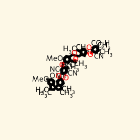 COc1cc2c(cc1OC)C1(CC2(C)C)CC(C)(C)c2cc3c(cc21)Oc1c(C#N)c(Oc2cc4c(cc2OC)CC2(Cc5cc6c(cc5C(C)(C)O2)Oc2c(c(C#N)c(C)c(C)c2C(=O)O)O6)OC4(C)C)c(C)c(C#N)c1O3